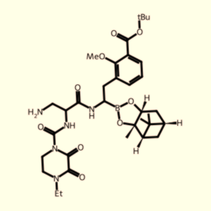 CCN1CCN(C(=O)NC(CN)C(=O)NC(Cc2cccc(C(=O)OC(C)(C)C)c2OC)B2O[C@@H]3C[C@@H]4C[C@@H](C4(C)C)[C@]3(C)O2)C(=O)C1=O